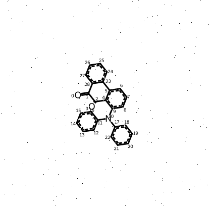 O=C1C(=O)c2c(cccc2N(c2ccccc2)c2ccccc2)-c2ccccc21